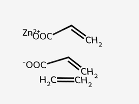 C=C.C=CC(=O)[O-].C=CC(=O)[O-].[Zn+2]